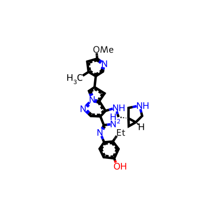 CCc1cc(O)ccc1/N=C(\N)c1cnn2cc(-c3cnc(OC)cc3C)cc2c1NC[C@]12CNC[C@H]1C2